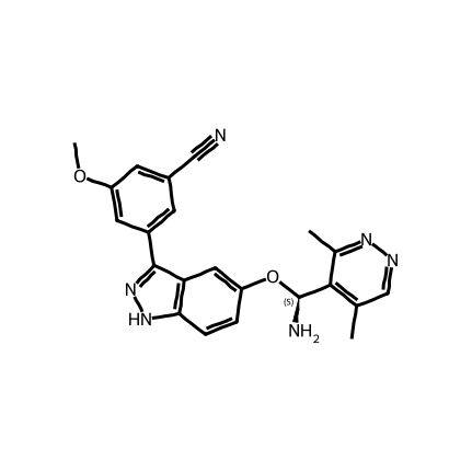 COc1cc(C#N)cc(-c2n[nH]c3ccc(O[C@H](N)c4c(C)cnnc4C)cc23)c1